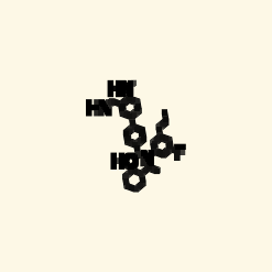 C=C(C1CCCCC1)N(c1cc(F)cc(/C=C/C)c1)C(O)c1ccc(-c2ccc(NC)c(C=N)c2)cc1